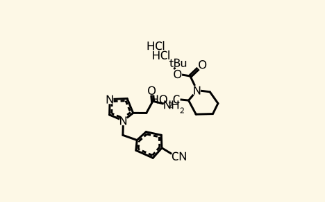 CC(C)(C)OC(=O)N1CCCCC1C(=O)O.Cl.Cl.N#Cc1ccc(Cn2cncc2CC(N)=O)cc1